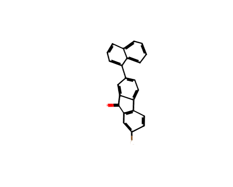 O=C1c2cc(Br)ccc2-c2ccc(-c3cccc4ccccc34)cc21